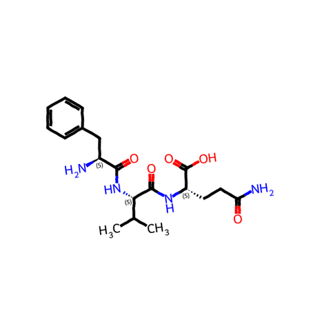 CC(C)[C@H](NC(=O)[C@@H](N)Cc1ccccc1)C(=O)N[C@@H](CCC(N)=O)C(=O)O